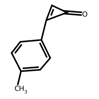 Cc1ccc(-c2cc2=O)cc1